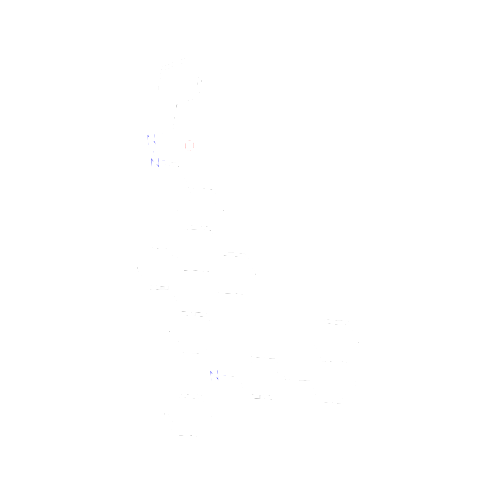 c1ccc(-c2nnc(-c3ccc(-c4ccccc4-c4ccccc4-c4ccc(N(c5ccccc5)c5ccc(-c6cccc7ccccc67)cc5)cc4)cc3)o2)cc1